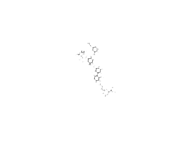 Cc1c(COc2cc(OCc3cncc(C#N)c3)c(C[AsH]C(C)(CO)C(=O)O)cc2Cl)cccc1-c1cccc(OCCCN2CCC[C@H](C(=O)O)C2)c1C